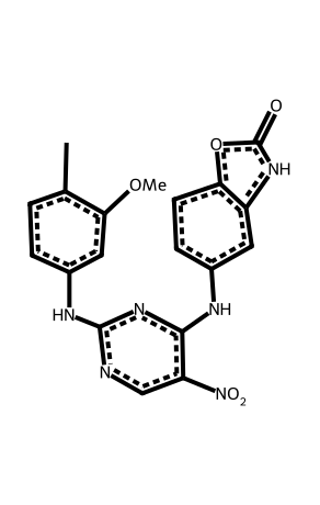 COc1cc(Nc2ncc([N+](=O)[O-])c(Nc3ccc4oc(=O)[nH]c4c3)n2)ccc1C